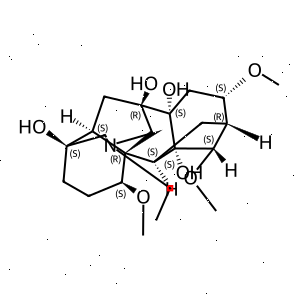 CCN1C[C@]2(O)CC[C@H](OC)[C@]34C1[C@](O)(C[C@H]23)[C@@]1(O)C[C@H](OC)[C@H]2C[C@@H]4[C@]1(O)[C@H]2OC